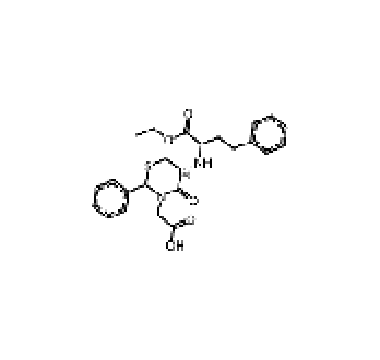 CCOC(=O)C(CCc1ccccc1)N[C@H]1CSC(c2ccccc2)N(CC(=O)O)C1=O